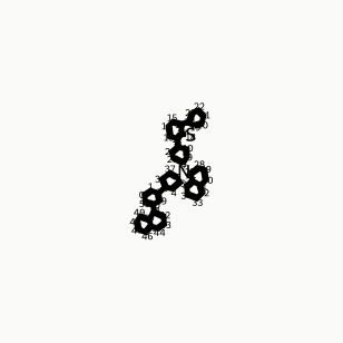 c1cc(-c2ccc(N(c3ccc(-c4cccc5c4sc4ccccc45)cc3)c3cccc4ccccc34)cc2)cc(-c2cccc3ccccc23)c1